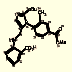 CCCCc1ncc(CNc2ccccc2C(=O)O)n1-c1ccc(C(=O)OC)cc1C